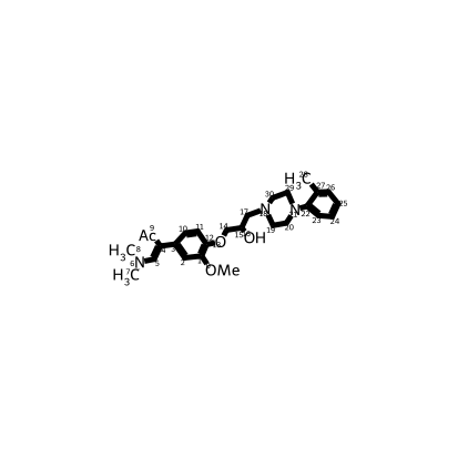 COc1cc(C(=CN(C)C)C(C)=O)ccc1OCC(O)CN1CCN(c2ccccc2C)CC1